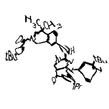 CC(C)n1c(=O)c2cnc(Nc3ccc4c(c3)CN(C(=O)OC(C)(C)C)CC4(C)C)nc2n1-c1ccnc(C(C)(C)C)c1